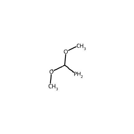 COC(P)OC